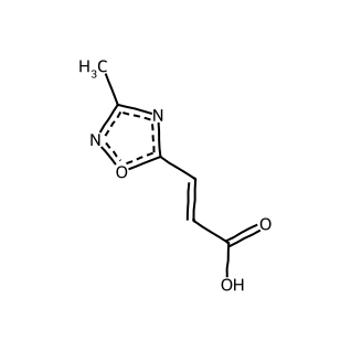 Cc1noc(C=CC(=O)O)n1